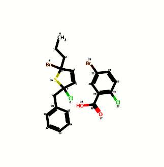 CCCC1(Br)C=CC(Cl)(Cc2ccccc2)S1.O=C(O)c1cc(Br)ccc1Cl